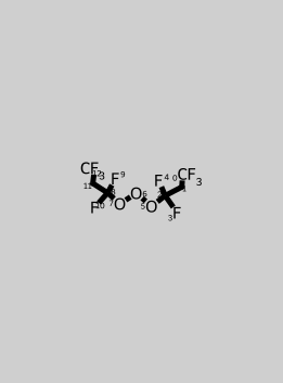 FC(F)(F)CC(F)(F)OOOC(F)(F)CC(F)(F)F